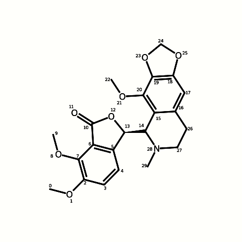 COc1ccc2c(c1OC)C(=O)O[C@H]2C1c2c(cc3c(c2OC)OCO3)CCN1C